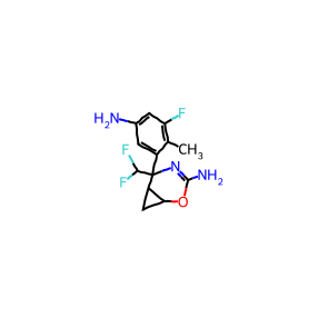 Cc1c(F)cc(N)cc1C1(C(F)F)N=C(N)OC2CC21